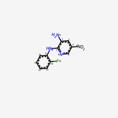 Nc1cc([N+](=O)[O-])cnc1Nc1ccccc1F